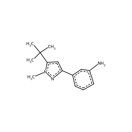 Cn1nc(-c2cccc(N)c2)cc1C(C)(C)C